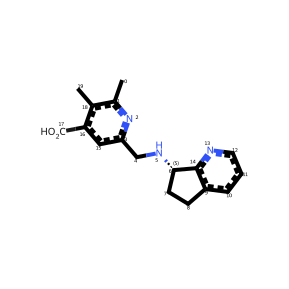 Cc1nc(CN[C@H]2CCc3cccnc32)cc(C(=O)O)c1C